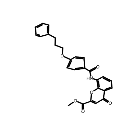 COC(=O)c1cc(=O)c2cccc(NC(=O)c3ccc(OCCCc4ccccc4)cc3)c2o1